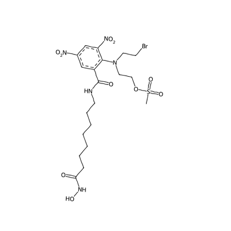 CS(=O)(=O)OCCN(CCBr)c1c(C(=O)NCCCCCCCC(=O)NO)cc([N+](=O)[O-])cc1[N+](=O)[O-]